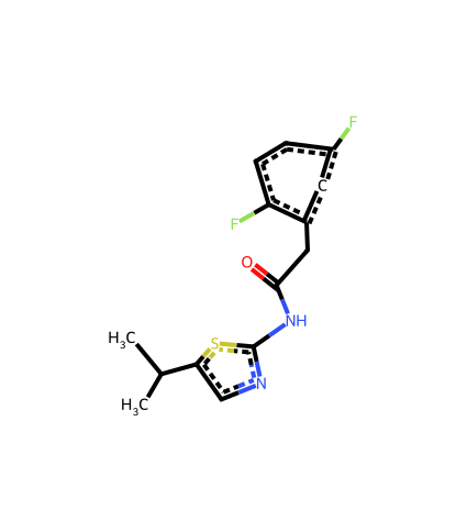 CC(C)c1cnc(NC(=O)Cc2cc(F)ccc2F)s1